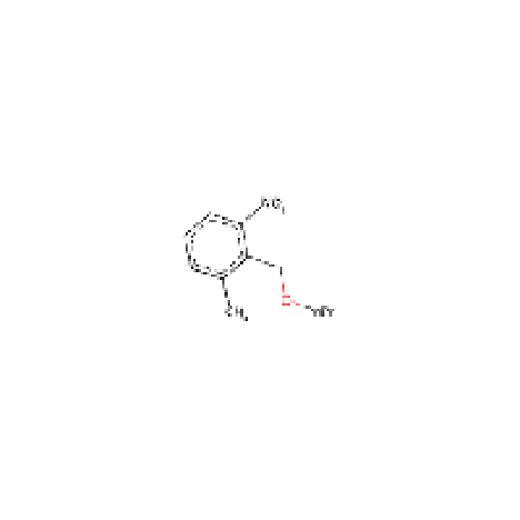 CCCOCc1c(C)cccc1[N+](=O)[O-]